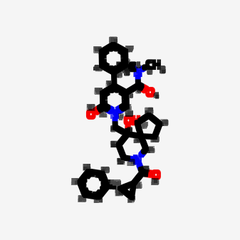 CN(C)C(=O)c1cn(CC2(O)CCN(C(=O)C3C[C@@H]3c3ccccc3)CC23CCCC3)c(=O)cc1-c1ccccc1